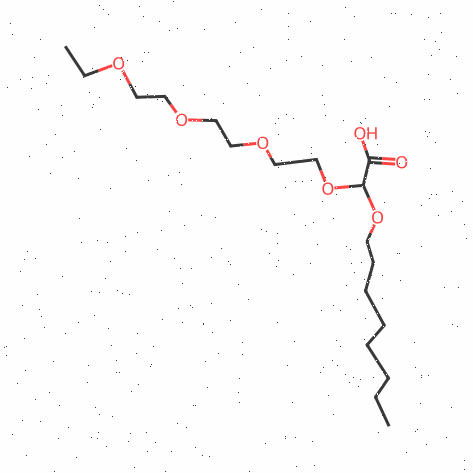 CCCCCCCCOC(OCCOCCOCCOCC)C(=O)O